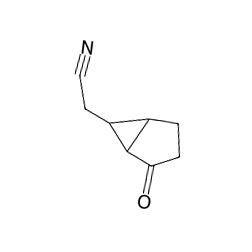 N#CCC1C2CCC(=O)C12